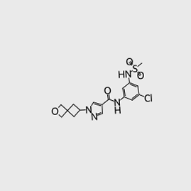 CS(=O)(=O)Nc1cc(Cl)cc(NC(=O)c2cnn(C3CC4(COC4)C3)c2)c1